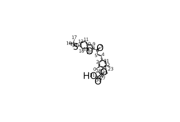 Cc1cc(/C=C/C(=O)c2cc3ccc(SC(C)C)cc3o2)cc(C)c1OC(C)(C)C(=O)O